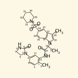 Cc1ccc(N2CCNC2=O)cc1NC(=O)C(C)n1cc(C)c2cc(S(=O)(=O)N3CCCCC3)ccc21